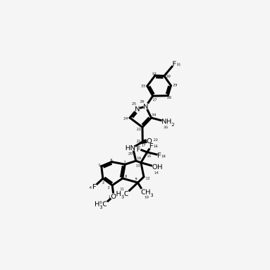 COc1c(F)ccc2c1C(C)(C)CC(O)(C(F)(F)F)C2NC(=O)c1cnn(-c2ccc(F)cc2)c1N